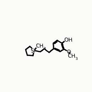 COc1cc(CCC[Si]2(C)CCCC2)ccc1O